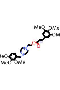 COc1cc(/C=C/C(=O)OCCN2CCN(Cc3ccc(OC)c(OC)c3OC)CC2)cc(OC)c1OC